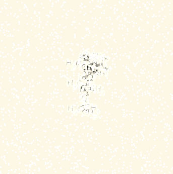 Cc1nn(COCC[Si](C)(C)C)c(C)c1-c1ccc(NC(=O)[C@@H](NC(=O)c2conc2C(C)C)C(C2CC2)C2CC2)nc1F